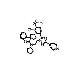 COc1ccc(-c2nc(-c3ccncc3)nn2CCN(C(=O)C2(c3ccccc3)CCCC2)C2CCCC2)cc1Cl